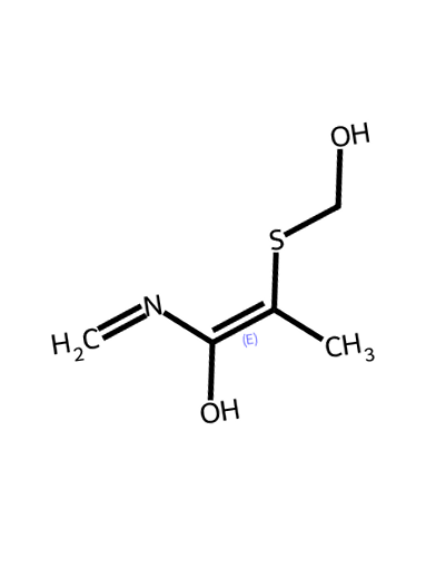 C=N/C(O)=C(/C)SCO